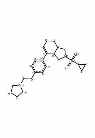 O=S(=O)(C1CC1)N1CC2CCC=C(c3ccc(CCN4CCCC4)cc3)C2C1